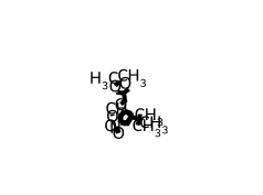 COc1c(OCC2COC(C)(C)OC2)cc(C(C)(C)C)cc1[N+](=O)[O-]